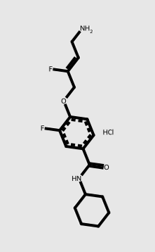 Cl.NCC=C(F)COc1ccc(C(=O)NC2CCCCC2)cc1F